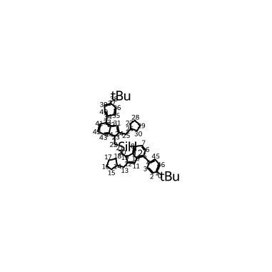 CC(C)(C)c1ccc(-c2cccc3c2C=C(CC2CCCC2)C3C[SiH2]CC2C(CC3CCCC3)=Cc3c(-c4ccc(C(C)(C)C)cc4)cccc32)cc1